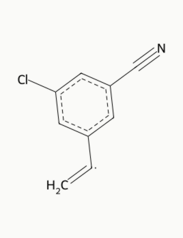 C=[C]c1cc(Cl)cc(C#N)c1